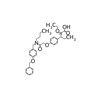 CCCCN(Cc1ccc(OCc2ccccc2)cc1)C(=O)COc1ccc(C(CC)[C@H](OCC)C(=O)O)cc1